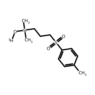 [3H]O[Si](C)(C)CCCS(=O)(=O)c1ccc(C)cc1